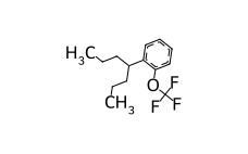 CCCC(CCC)c1ccccc1OC(F)(F)F